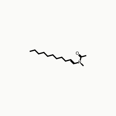 CCCCCCCCCC=CN(C)C(C)=O